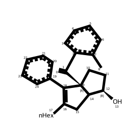 C=C(c1ccccc1C)[C@@]12CC[C@@H](O)C1CC(CCCCCC)=C2c1ccccc1